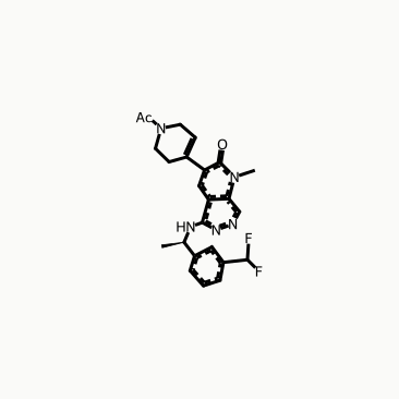 CC(=O)N1CC=C(c2cc3c(N[C@H](C)c4cccc(C(F)F)c4)nncc3n(C)c2=O)CC1